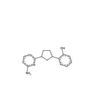 Nc1cccc(C2CCC(c3ccccc3O)C2)n1